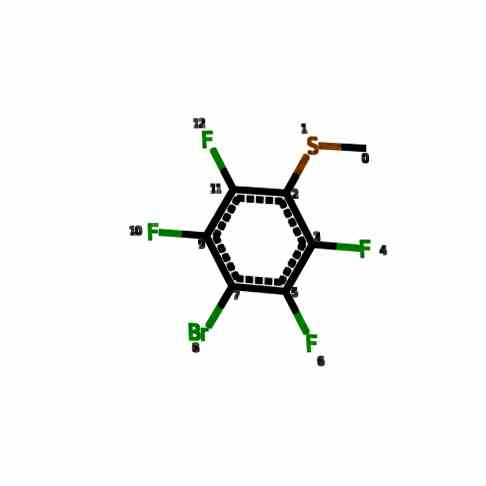 CSc1c(F)c(F)c(Br)c(F)c1F